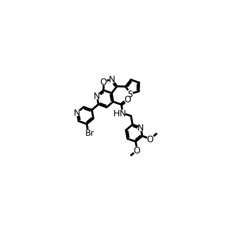 COc1ccc(CNC(=O)c2cc(-c3cncc(Br)c3)nc3onc(-c4cccs4)c23)nc1OC